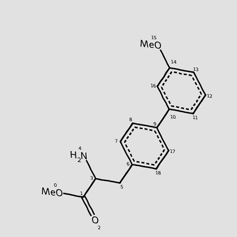 COC(=O)C(N)Cc1ccc(-c2cccc(OC)c2)cc1